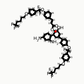 Nc1ccc(C(COC(=O)/C=C/c2ccc(OC(F)(F)c3ccc(OCCCCC(F)(F)F)cc3)cc2)C/C(=C\C(=O)O)c2ccc(OC(F)(F)c3ccc(OCCCCC(F)(F)F)cc3)cc2)c(N)c1